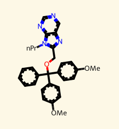 [CH2]CCn1c(COC(c2ccccc2)(c2ccc(OC)cc2)c2ccc(OC)cc2)nc2cncnc21